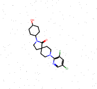 O=C1N(C2CCC(O)CC2)CCC12CCN(c1ncc(Cl)cc1F)CC2